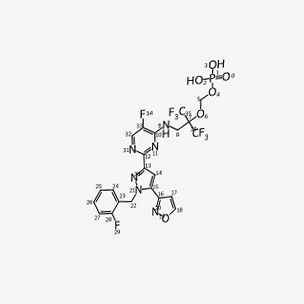 O=P(O)(O)OCOC(CNc1nc(-c2cc(-c3ccon3)n(Cc3ccccc3F)n2)ncc1F)(C(F)(F)F)C(F)(F)F